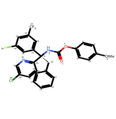 COc1ccc(OC(=O)N[C@](Cc2ccccc2)(c2cc(F)cc(C(F)(F)F)c2)c2ccc(Cl)cn2)cc1